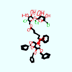 O=C(CCCCC(=O)OC[C@H](OCc1ccccc1)C(OCc1ccccc1)C1O[C@H](c2ccccc2)OC[C@@H]1OCc1ccccc1)OCC1O[C@H](O[C@]2(CCl)O[C@H](CCl)C(O)C2O)C(O)C(O)[C@H]1Cl